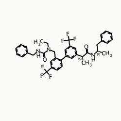 CCN(Cc1cc(C(F)(F)F)ccc1-c1cc([C@H](C)C(=O)N[C@H](C)Cc2ccccc2)cc(C(F)(F)F)c1)C(=O)NCc1ccccc1